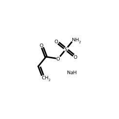 C=CC(=O)OS(N)(=O)=O.[NaH]